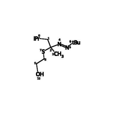 CC(C)CC(C)(/N=N/C(C)(C)C)SCCO